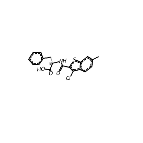 Cc1ccc2c(Cl)c(C(=O)N[C@@H](Cc3ccccc3)C(=O)O)sc2c1